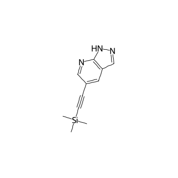 C[Si](C)(C)C#Cc1cnc2[nH]ncc2c1